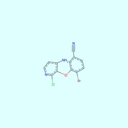 N#Cc1ccc(Br)c(Oc2c(N)ccnc2Cl)c1